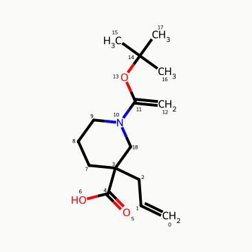 C=CCC1(C(=O)O)CCCN(C(=C)OC(C)(C)C)C1